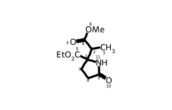 CCOC(=O)C1(C(C)C(=O)OC)CCC(=O)N1